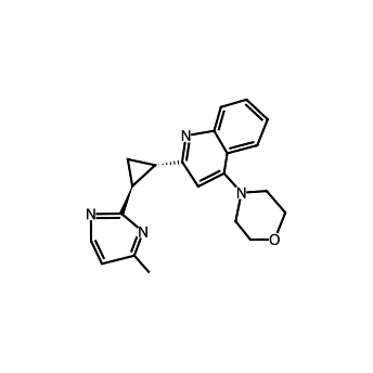 Cc1ccnc([C@H]2C[C@@H]2c2cc(N3CCOCC3)c3ccccc3n2)n1